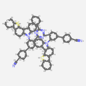 N#Cc1ccc(-c2ccc(-c3nc(-c4ccccc4)nc(-c4ccc(-c5ccc(C#N)cc5)cc4-n4c5ccccc5c5c6sc7ccccc7c6ccc54)n3)c(-n3c4ccccc4c4c5sc6ccccc6c5ccc43)c2)cc1